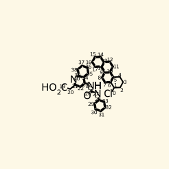 ClC1CCCc2c1ccc1c2ccc2ccccc21.O=C(O)Cc1cc(NC(=O)Nc2ccccc2)c2ccccc2n1